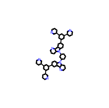 c1cncc(-c2cc(-c3cccnc3)cc(-c3ccc4c(c3)c3ncccc3n4-c3cccc(-n4c5ccc(-c6cc(-c7cccnc7)cc(-c7cccnc7)c6)cc5c5ncccc54)c3)c2)c1